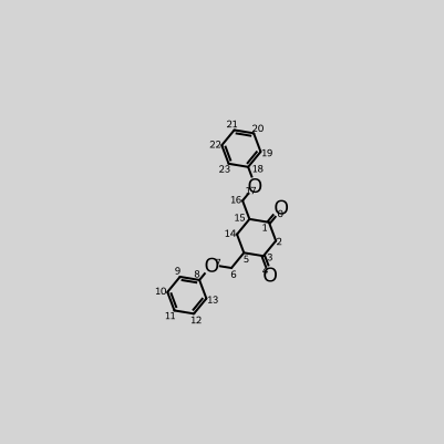 O=C1CC(=O)C(COc2ccccc2)CC1COc1ccccc1